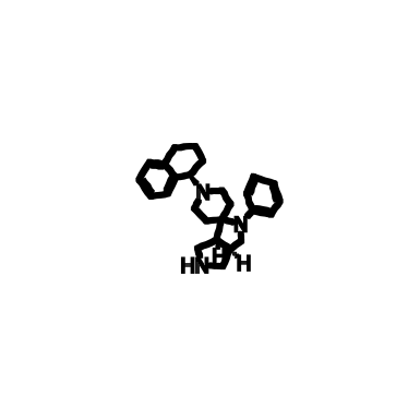 c1ccc(N2C[C@H]3CNC[C@H]3C23CCN([C@@H]2CCCc4ccccc42)CC3)cc1